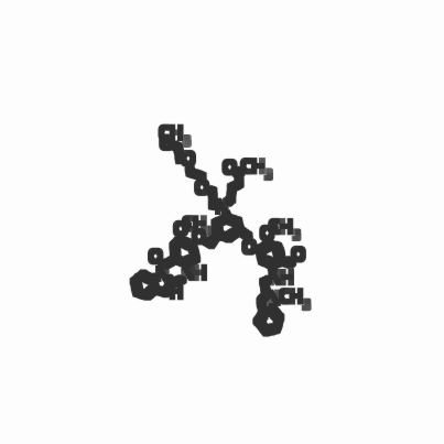 COCCOCCOCCN(CCCC(C)=O)c1cc(COc2cc(NCC3Cc4ccccc4N3C)c(C=O)cc2OC)cc(COc2cc3c(cc2OC)C(=O)N2c4ccccc4C[C@H]2CN3)c1